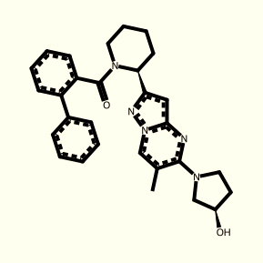 Cc1cn2nc([C@@H]3CCCCN3C(=O)c3ccccc3-c3ccccc3)cc2nc1N1CC[C@@H](O)C1